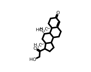 C[C@]12C[C@H](O)C3C(CCC4=CC(=O)CC[C@@]43C)C1CCC2C(=O)CO